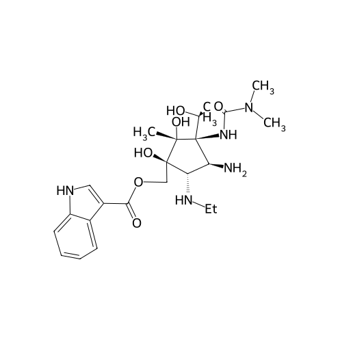 CCN[C@H]1[C@H](N)[C@@](NC(=O)N(C)C)([C@H](C)O)[C@@](C)(O)[C@@]1(O)COC(=O)c1c[nH]c2ccccc12